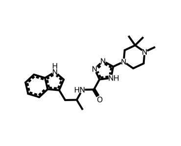 CC(Cc1c[nH]c2ccccc12)NC(=O)c1nnc(N2CCN(C)C(C)(C)C2)[nH]1